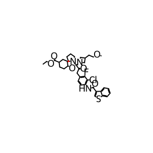 CCOC(=O)C1CCC(OC(C(=O)Cc2ccc(NC(=O)c3csc4ccccc34)c(Cl)c2F)(N2CCCC2)N2CC(CCOC)C2)CC1